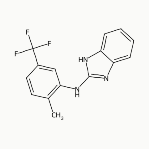 Cc1ccc(C(F)(F)F)cc1Nc1nc2ccccc2[nH]1